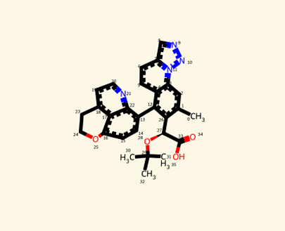 Cc1cc2c(ccc3cnnn32)c(-c2ccc3c4c(ccnc24)CCO3)c1[C@H](OC(C)(C)C)C(=O)O